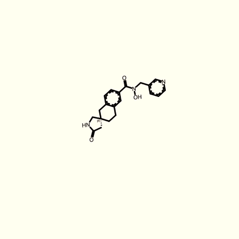 O=C1C[C@]2(CCc3cc(C(=O)N(O)Cc4cccnc4)ccc3C2)CN1